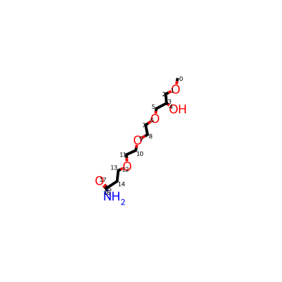 COCC(O)COCCOCCOCCC(N)=O